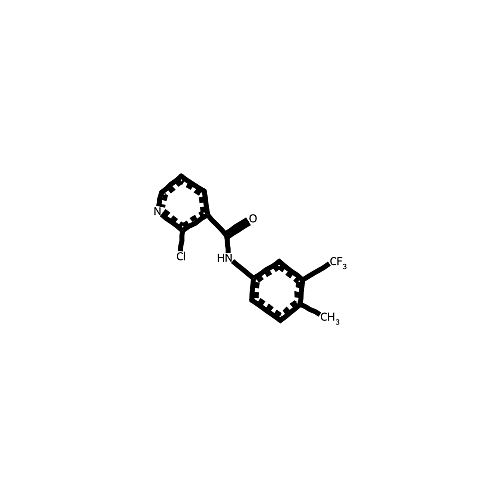 Cc1ccc(NC(=O)c2cccnc2Cl)cc1C(F)(F)F